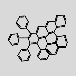 c1ccc(-c2c(-c3ccccc3)c(-c3ccccc3)c3c(-c4ccccc4)c4c(-c5ccccc5)c5ccccc5cc4cc3c2-c2ccccc2)cc1